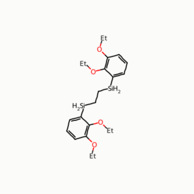 CCOc1cccc([SiH2]CC[SiH2]c2cccc(OCC)c2OCC)c1OCC